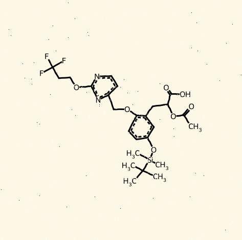 CC(=O)OC(Cc1cc(O[Si](C)(C)C(C)(C)C)ccc1OCc1ccnc(OCCC(F)(F)F)n1)C(=O)O